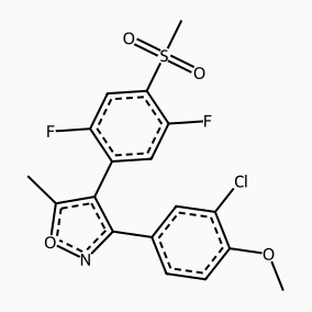 COc1ccc(-c2noc(C)c2-c2cc(F)c(S(C)(=O)=O)cc2F)cc1Cl